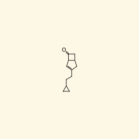 O=C1CC2CC(CCC3CC3)=CC12